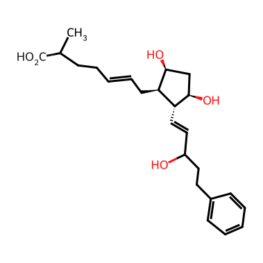 CC(CCC=CC[C@@H]1[C@@H](C=CC(O)CCc2ccccc2)[C@H](O)C[C@@H]1O)C(=O)O